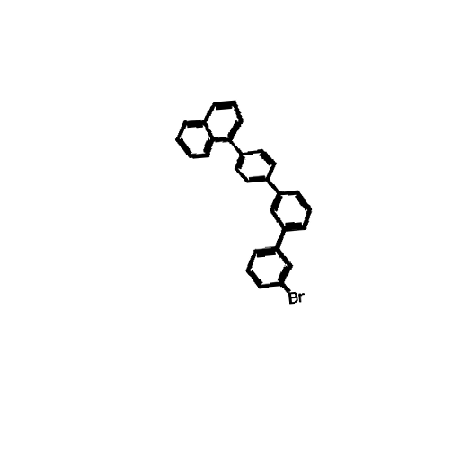 Brc1cccc(-c2cccc(-c3ccc(-c4cccc5ccccc45)cc3)c2)c1